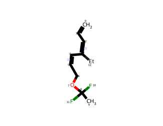 C=C/C=C(\C=C/COC(C)(F)F)CC